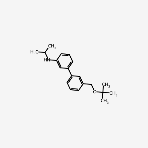 CC(C)Nc1cccc(-c2cccc(COC(C)(C)C)c2)c1